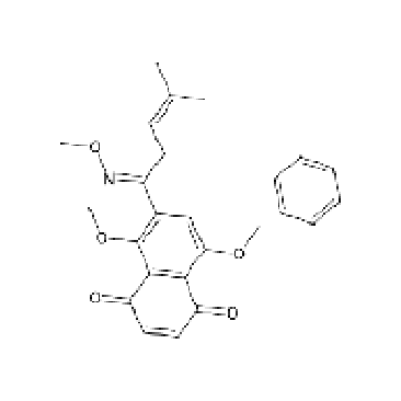 CON=C(CC=C(C)C)c1cc(OC)c2c(c1OC)C(=O)C=CC2=O.c1ccccc1